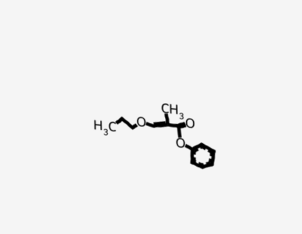 CCCOC=C(C)C(=O)Oc1ccccc1